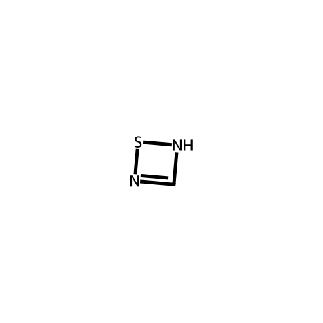 c1ns[nH]1